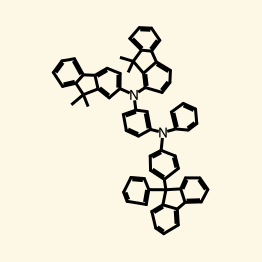 CC1(C)c2ccccc2-c2ccc(N(c3cccc(N(c4ccccc4)c4ccc(C5(c6ccccc6)c6ccccc6-c6ccccc65)cc4)c3)c3cccc4c3C(C)(C)c3ccccc3-4)cc21